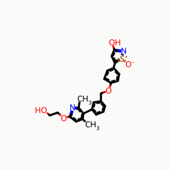 Cc1cc(OCCO)nc(C)c1-c1cccc(COc2ccc(-c3cc(O)n[s+]3[O-])cc2)c1